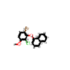 COc1ccc(Br)c(Oc2cccc3ccccc23)c1Cl